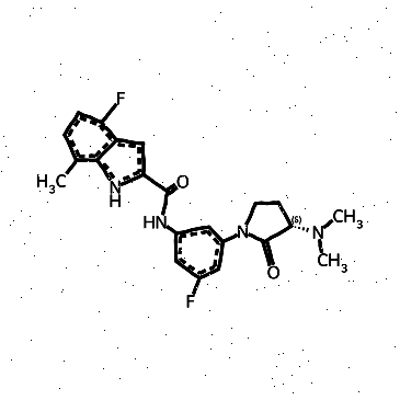 Cc1ccc(F)c2cc(C(=O)Nc3cc(F)cc(N4CC[C@H](N(C)C)C4=O)c3)[nH]c12